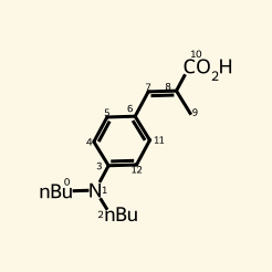 CCCCN(CCCC)c1ccc(C=C(C)C(=O)O)cc1